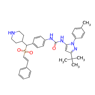 Cc1ccc(-n2nc(C(C)(C)C)cc2NC(=O)Nc2ccc(C(C3CCNCC3)S(=O)(=O)C=Cc3ccccc3)cc2)cc1